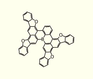 c1cc2c3c(c1)-c1c4oc5ccccc5c4cc4c1c(cc1c5ccccc5oc41)B3c1cc3c4ccccc4oc3c3cc4c(oc5ccccc54)c-2c13